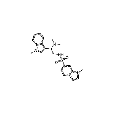 CN(C)C(CNS(=O)(=O)c1ccc2ccn(C)c2c1)c1cn(C)c2ccccc12